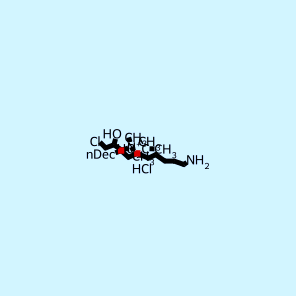 CC(=O)O.CCCCCCCCCCCCCCCCCCN.C[N+](C)(C)CC(O)CCl.Cl